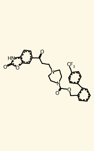 O=C(CCN1CCN(C(=O)OCc2ccccc2-c2ccc(C(F)(F)F)cc2)CC1)c1ccc2[nH]c(=O)oc2c1